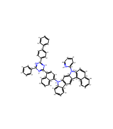 c1ccc(-c2ccc(-c3nc(-c4ccccc4)nc(-c4ccc(-n5c6ccccc6c6cc7c8c9ccccc9ccc8n(-c8ccccn8)c7cc65)c5ccccc45)n3)cc2)cc1